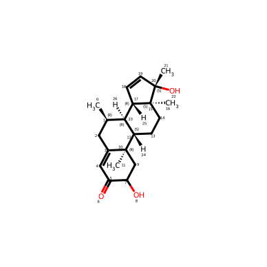 C[C@@H]1CC2=CC(=O)C(O)C[C@]2(C)[C@H]2CC[C@@]3(C)[C@@H](C=C[C@]3(C)O)[C@H]12